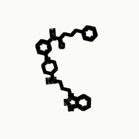 O=C(CCCc1ccccc1)Nc1cccc(N2CCC(NCCCn3nnc4ccccc43)CC2)c1